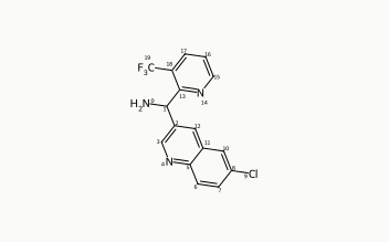 NC(c1cnc2ccc(Cl)cc2c1)c1ncccc1C(F)(F)F